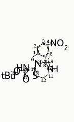 Cc1ccc([N+](=O)[O-])cc1[C@]12C[C@H]1CCSC(NC(=O)OC(C)(C)C)=N2